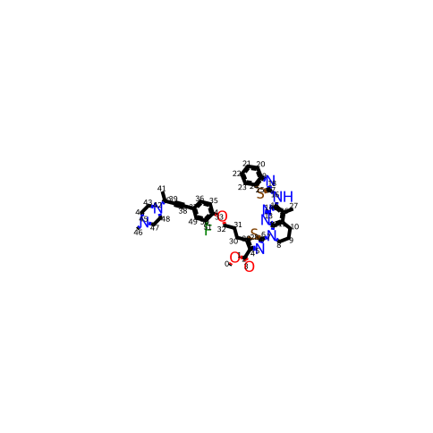 COC(=O)c1nc(N2CCCc3c2nnc(Nc2nc4ccccc4s2)c3C)sc1CCCOc1ccc(C#CC(C)N2CCN(C)CC2)cc1F